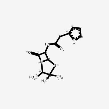 CC1(C)SC2C(NC(=O)Cc3cccs3)C(=O)N2C1C(=O)O